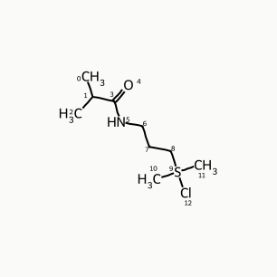 CC(C)C(=O)NCCCS(C)(C)Cl